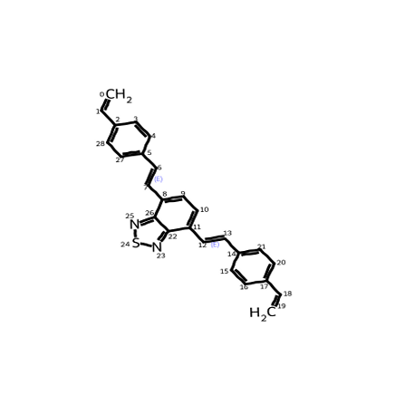 C=Cc1ccc(/C=C/c2ccc(/C=C/c3ccc(C=C)cc3)c3nsnc23)cc1